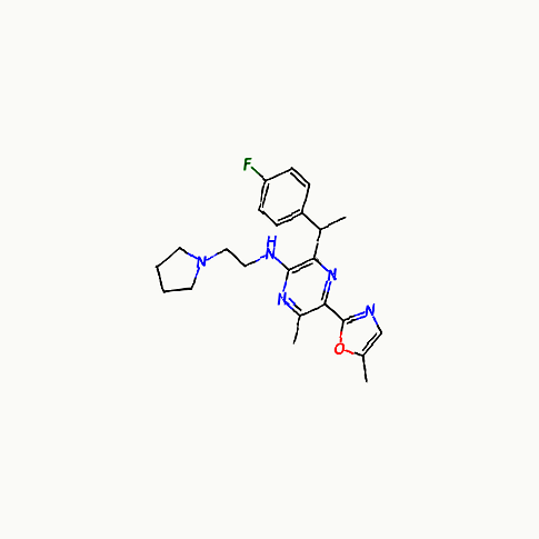 Cc1cnc(-c2nc(C(C)c3ccc(F)cc3)c(NCCN3CCCC3)nc2C)o1